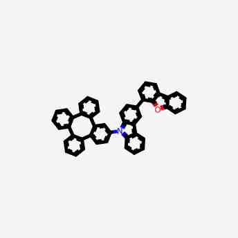 c1ccc2c(c1)-c1ccccc1-c1ccc(-n3c4ccccc4c4cc(-c5cccc6c5oc5ccccc56)ccc43)cc1-c1ccccc1-2